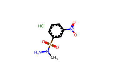 CN(N)S(=O)(=O)c1cccc([N+](=O)[O-])c1.Cl